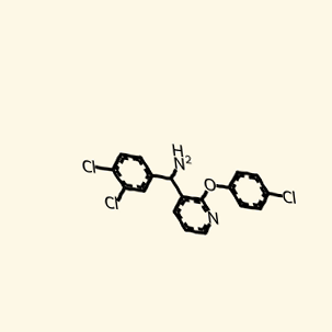 NC(c1ccc(Cl)c(Cl)c1)c1cccnc1Oc1ccc(Cl)cc1